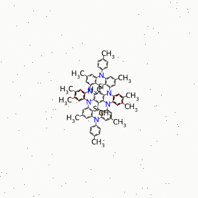 Cc1ccc(N2c3cc(C)cc4c3[Si]3(C)c5c2cc(C)cc5N(c2ccc(C)cc2)c2c5c6c(c(c23)N4c2ccc(C)cc2)N(c2ccc(C)cc2)c2cc(C)cc3c2[Si]6(C)c2c(cc(C)cc2N5c2ccc(C)cc2)N3c2ccc(C)cc2)cc1